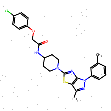 Cc1cccc(-n2nc(C)c3sc(N4CCC(NC(=O)COc5ccc(Cl)cc5)CC4)nc32)c1